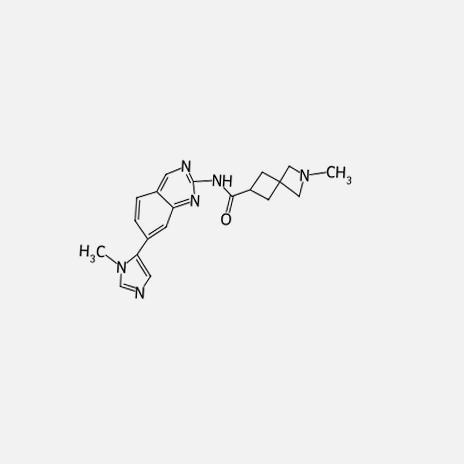 CN1CC2(CC(C(=O)Nc3ncc4ccc(-c5cncn5C)cc4n3)C2)C1